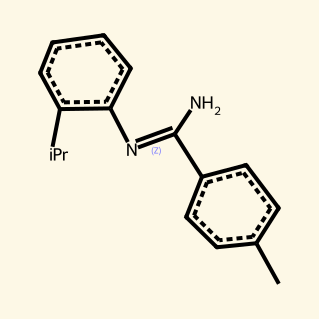 Cc1ccc(/C(N)=N/c2ccccc2C(C)C)cc1